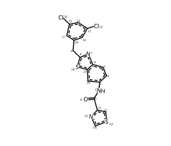 O=C(Nc1ccc2nc(Cc3cc(Cl)cc(Cl)c3)sc2c1)c1cscn1